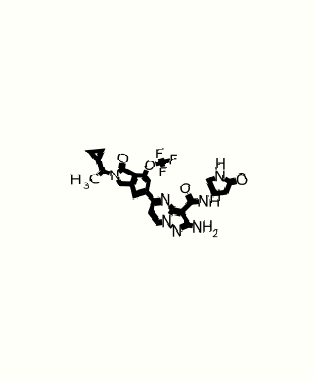 CC(C1CC1)N1Cc2cc(-c3ccn4nc(N)c(C(=O)N[C@H]5CNC(=O)C5)c4n3)cc(OC(F)(F)F)c2C1=O